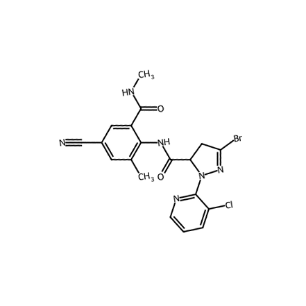 CNC(=O)c1cc(C#N)cc(C)c1NC(=O)C1CC(Br)=NN1c1ncccc1Cl